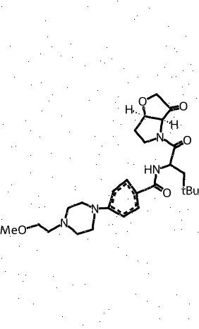 COCCN1CCN(c2ccc(C(=O)NC(CC(C)(C)C)C(=O)N3CC[C@H]4OCC(=O)[C@H]43)cc2)CC1